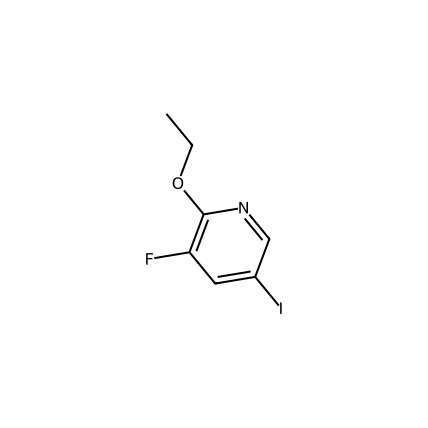 CCOc1ncc(I)cc1F